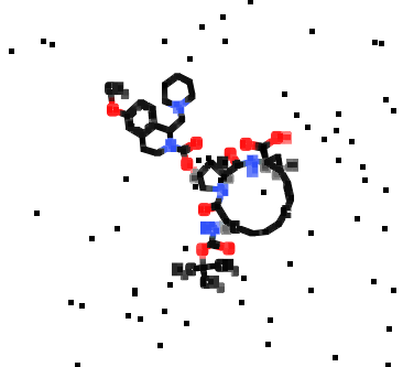 COc1ccc2c(c1)CCN(C(=O)O[C@@H]1C[C@H]3C(=O)N[C@]4(C(=O)O)C[C@H]4C=CCCCCC[C@H](NC(=O)OC(C)(C)C)C(=O)N3C1)C2CN1CCCCC1